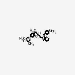 C[C@@H]1CN(c2ccc([C@H](C)NC(=O)CCc3nc4cccnc4n3Cc3ccc(OC(F)(F)F)cc3)cc2)C[C@H](C)N1